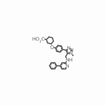 Cn1nnc(-c2ccc(O[C@H]3CCCC(C(=O)O)C3)cc2)c1CNc1cc(-c2ccccc2)ccn1